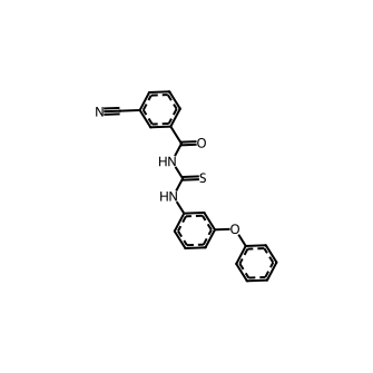 N#Cc1cccc(C(=O)NC(=S)Nc2cccc(Oc3ccccc3)c2)c1